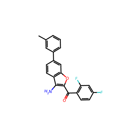 Cc1cccc(-c2ccc3c(N)c(C(=O)c4ccc(F)cc4F)oc3c2)c1